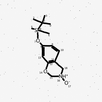 CC(C)(C)[Si](C)(C)Oc1ccc2c(c1)OC[NH+]([O-])C2